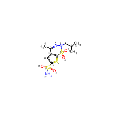 CC1=NN(CC(C)C)S(=O)(=O)c2sc(S(N)(=O)=O)cc21